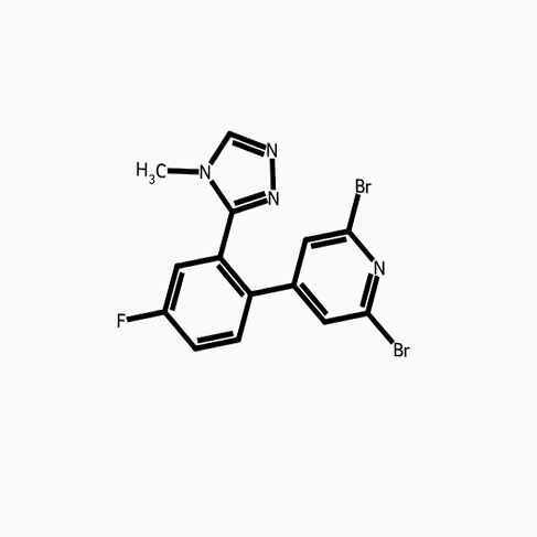 Cn1cnnc1-c1cc(F)ccc1-c1cc(Br)nc(Br)c1